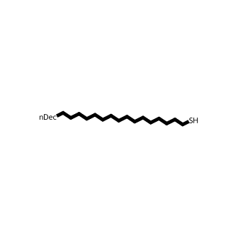 CCCCCCCCCCCCCCCCCCCCCCCCCCS